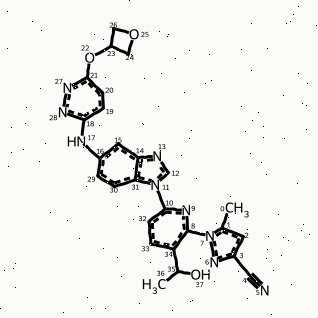 Cc1cc(C#N)nn1-c1nc(-n2cnc3cc(Nc4ccc(OC5COC5)nn4)ccc32)ccc1C(C)O